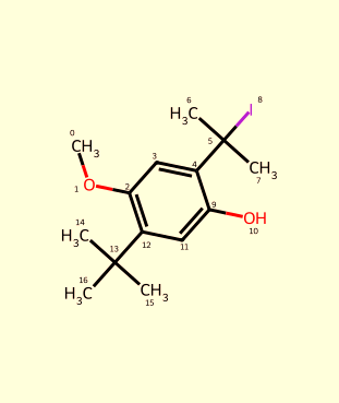 COc1cc(C(C)(C)I)c(O)cc1C(C)(C)C